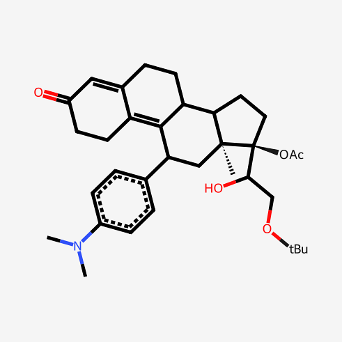 CC(=O)O[C@]1(C(O)COC(C)(C)C)CCC2C3CCC4=CC(=O)CCC4=C3C(c3ccc(N(C)C)cc3)C[C@@]21C